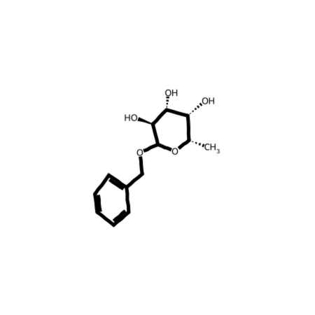 C[C@@H]1OC(OCc2ccccc2)[C@@H](O)[C@H](O)[C@@H]1O